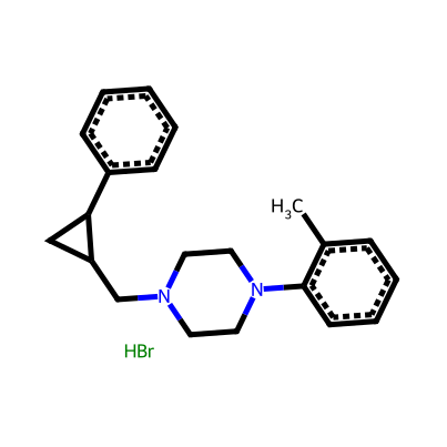 Br.Cc1ccccc1N1CCN(CC2CC2c2ccccc2)CC1